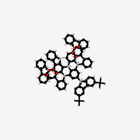 CC(C)(C)c1ccc2c(c1)c1cc(C(C)(C)C)ccc1n2-c1cc2c3c(c1)N(c1ccccc1-c1ccccc1)c1cc(-n4c5ccccc5c5ccccc54)c4c(sc5ccccc54)c1B3c1ccc(-n3c4ccccc4c4ccccc43)cc1N2c1ccccc1-c1ccccc1